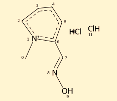 C[n+]1ccccc1/C=N/O.Cl.Cl